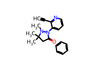 C#Cc1ncccc1N1C(=O)CC(C)(C)N1C.c1ccccc1